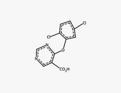 O=C(O)c1cncnc1Oc1cc(Cl)ccc1Cl